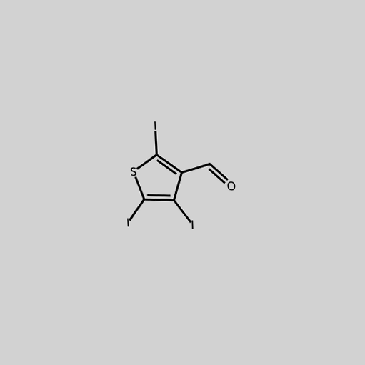 O=Cc1c(I)sc(I)c1I